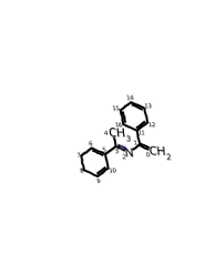 C=C(/N=C(\C)C1=CCCC=C1)c1ccccc1